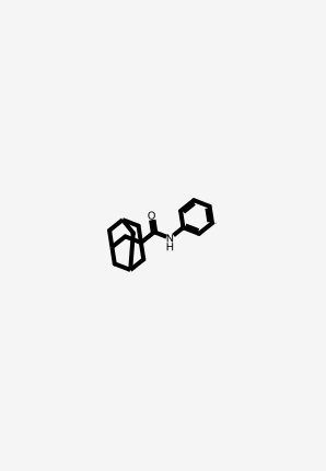 O=C(Nc1c[c]ccc1)C12CC3CC(CC(C3)C1)C2